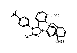 COc1cccc(C2N(c3ccccc3)N=C(C(C)=O)N2c2ccc(N(C)C)cc2)c1OCc1cccc(C=O)c1